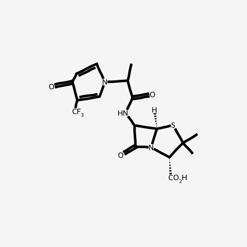 CC(C(=O)NC1C(=O)N2[C@@H]1SC(C)(C)[C@@H]2C(=O)O)n1ccc(=O)c(C(F)(F)F)c1